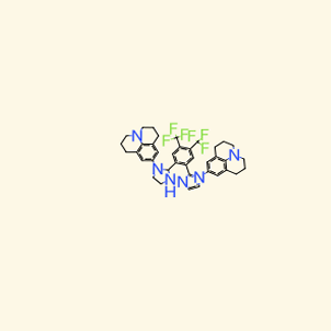 FC(F)(F)c1cc(-c2nccn2-c2cc3c4c(c2)CCCN4CCC3)c(C2NCCN2c2cc3c4c(c2)CCCN4CCC3)cc1C(F)(F)F